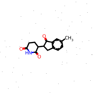 Cc1ccc2c(c1)C(=O)C(C1CCC(=O)NC1=O)C2